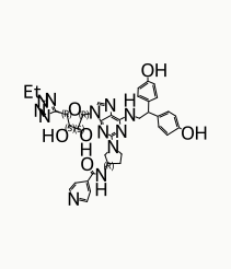 CCn1nnc([C@H]2O[C@@H](n3cnc4c(NCC(c5ccc(O)cc5)c5ccc(O)cc5)nc(N5CC[C@@H](NC(=O)c6ccncc6)C5)nc43)[C@@H](O)[C@@H]2O)n1